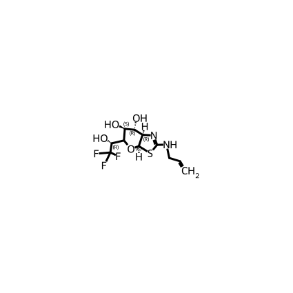 C=CCNC1=N[C@@H]2[C@@H](O)[C@H](O)C([C@@H](O)C(F)(F)F)O[C@@H]2S1